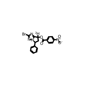 [2H]C1(OC(=O)c2ccc([N+](=O)[O-])cc2)CC(c2ccccc2)n2nc(Br)nc21